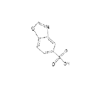 O=S(=O)(O)c1ccc2o[c]nc2c1